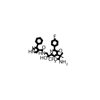 C[C@]1(C(N)=O)COc2c1cc(C(O)(CNC(=O)c1c[nH]nc1-c1ccccc1)C(F)(F)F)nc2-c1ccc(F)cc1